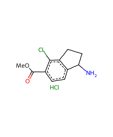 COC(=O)c1ccc2c(c1Cl)CCC2N.Cl